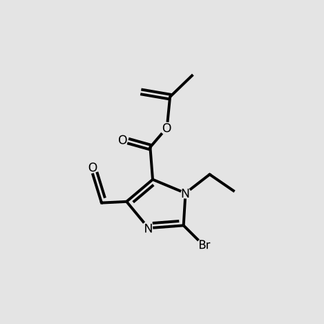 C=C(C)OC(=O)c1c(C=O)nc(Br)n1CC